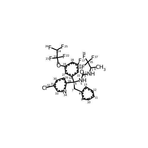 CC(NC(=O)N[C@@](Cc1ccccc1)(c1cc(F)cc(OC(F)(F)C(F)F)c1)c1ccc(Cl)cn1)C(F)(F)F